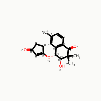 CC1(C)C(=O)c2ccc(C#N)cc2[C@@H](OC2=CC(=O)CC2)[C@@H]1O